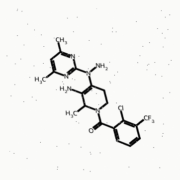 Cc1cc(C)nc(N(N)C2=C(N)C(C)N(C(=O)c3cccc(C(F)(F)F)c3Cl)CC2)n1